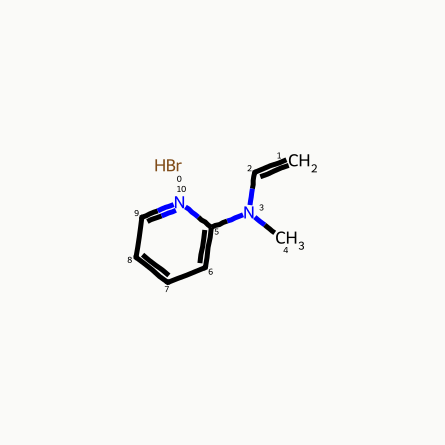 Br.C=CN(C)c1ccccn1